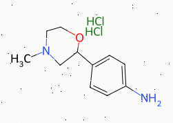 CN1CCOC(c2ccc(N)cc2)C1.Cl.Cl